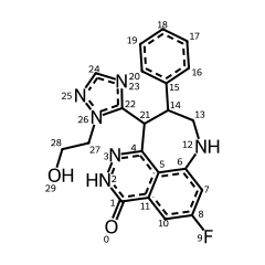 O=c1[nH]nc2c3c(cc(F)cc13)NCC(c1ccccc1)C2c1ncnn1CCO